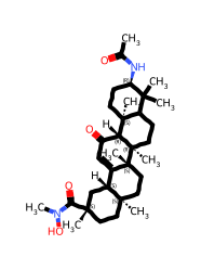 CC(=O)N[C@@H]1CC[C@@]2(C)C(CC[C@]3(C)[C@@H]2C(=O)C=C2[C@H]4C[C@@](C)(C(=O)N(C)O)CC[C@]4(C)CC[C@]23C)C1(C)C